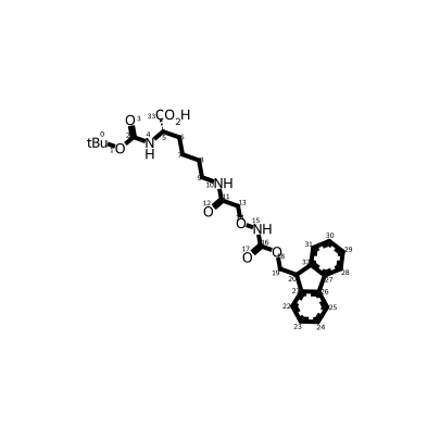 CC(C)(C)OC(=O)N[C@@H](CCCCNC(=O)CONC(=O)OCC1c2ccccc2-c2ccccc21)C(=O)O